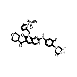 CC(C)S(=O)(=O)n1cccc1Cn1c(=O)c(C(=O)C2CCOCC2)cc2cnc(Nc3ccc(N4C[C@@H](C)N[C@@H](C)C4)c(F)c3)nc21